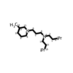 CC(C)CCN(CCCN1CCCC(C)C1)CCC(C)C